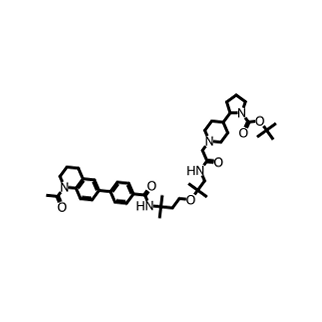 CC(=O)N1CCCc2cc(-c3ccc(C(=O)NC(C)(C)CCOC(C)(C)CNC(=O)CN4CCC(C5CCCN5C(=O)OC(C)(C)C)CC4)cc3)ccc21